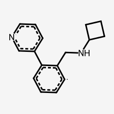 [c]1cccc(-c2cccnc2)c1CNC1CCC1